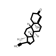 C#CC1=CC[C@H]2[C@@H]3CCC4=CC(=O)CC[C@]4(O)[C@H]3CC[C@]12C